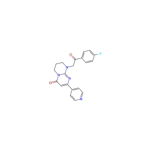 O=C(CN1CCCn2c1nc(-c1ccncc1)cc2=O)c1ccc(F)cc1